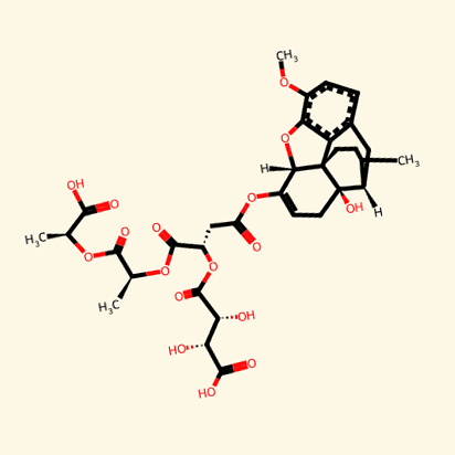 COc1ccc2c3c1O[C@H]1C(OC(=O)C[C@H](OC(=O)[C@H](O)[C@@H](O)C(=O)O)C(=O)O[C@@H](C)C(=O)O[C@@H](C)C(=O)O)=CC[C@@]4(O)[C@@H](C2)C(C)CC[C@]314